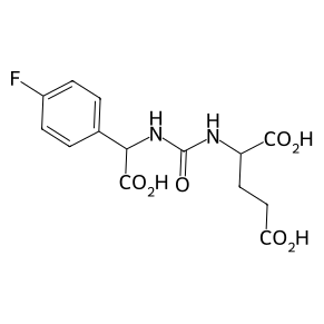 O=C(O)CCC(NC(=O)NC(C(=O)O)c1ccc(F)cc1)C(=O)O